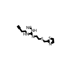 C#CCCNC(=NCCSCc1nccs1)NC#N